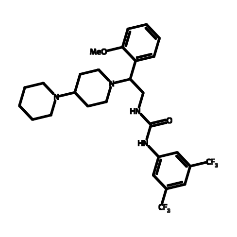 COc1ccccc1C(CNC(=O)Nc1cc(C(F)(F)F)cc(C(F)(F)F)c1)N1CCC(N2CCCCC2)CC1